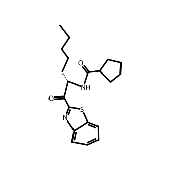 CCCCC[C@H](NC(=O)C1CCCC1)C(=O)c1nc2ccccc2s1